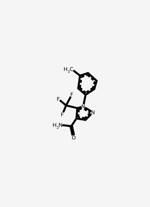 Cc1cccc(-n2ncc(C(N)=O)c2C(F)(F)F)c1